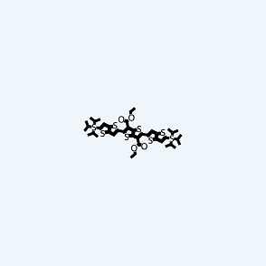 CCOC(=O)c1c(-c2cc3sc(S(C(C)C)(C(C)C)C(C)C)cc3s2)sc2c(C(=O)OCC)c(-c3cc4sc(S(C(C)C)(C(C)C)C(C)C)cc4s3)sc12